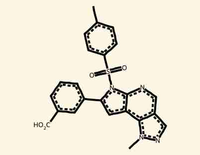 Cc1ccc(S(=O)(=O)n2c(-c3cccc(C(=O)O)c3)cc3c4c(cnc32)cnn4C)cc1